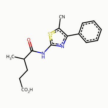 CC(CCC(=O)O)C(=O)Nc1nc(-c2ccccc2)c(C#N)s1